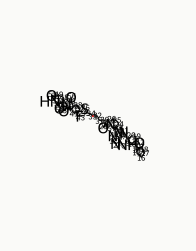 Nc1ncnc2c1c(-c1ccc(Oc3ccccc3)cc1)nn2[C@@H]1CCCN(C(=O)CCCCCCSc2cc3c(cc2F)C(=O)N(C2CCC(=O)NC2=O)C3=O)C1